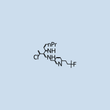 C=C(Cl)/C(=C/NCc1ccc(CCC(C)(C)F)nc1)C(=N)/C=C\CCC